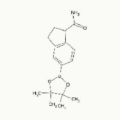 CC1(C)OB(c2ccc3c(c2)CCC3C(N)=O)OC1(C)C